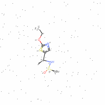 C[C@H](N[S@+]([O-])C(C)(C)C)c1cnc(OCC(F)(F)F)s1